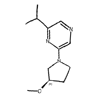 CO[C@@H]1CCN(c2cncc(C(C)C)n2)C1